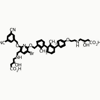 Cc1c(COc2nc(OCc3cc(C#N)cc(C#N)c3)c(CNC[C@@H](O)CC(=O)O)cc2Br)cccc1-c1cccc(-c2ccc(OCCNC[C@@H](O)CC(=O)O)cc2)c1C